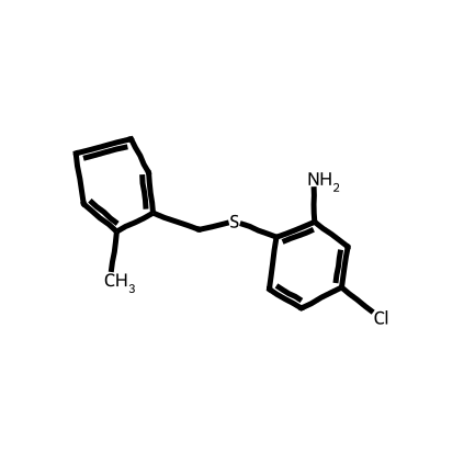 Cc1ccccc1CSc1ccc(Cl)cc1N